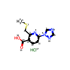 CSCc1nc(-n2cncn2)ccc1C(=O)O.Cl